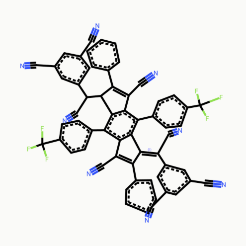 N#CC1=C(c2ccccc2)/C(=C(/C#N)c2cc(C#N)cc(C#N)c2)c2c1c(-c1ccc(C(F)(F)F)cc1)c1c(c2-c2ccc(C(F)(F)F)cc2)C(C#N)=C(c2ccccc2)C1C(C#N)c1cc(C#N)cc(C#N)c1